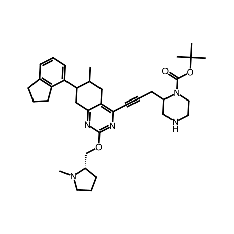 CC1Cc2c(C#CCC3CNCCN3C(=O)OC(C)(C)C)nc(OC[C@@H]3CCCN3C)nc2CC1c1cccc2c1CCC2